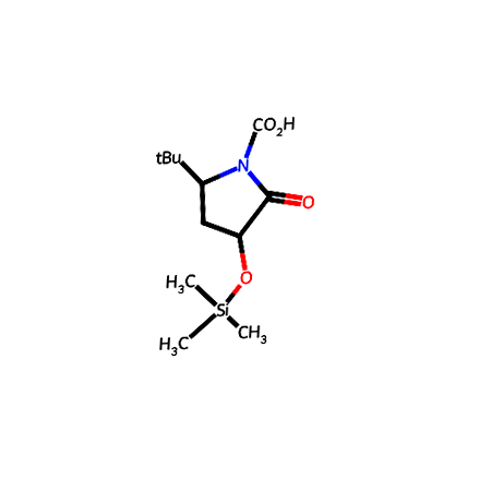 CC(C)(C)C1CC(O[Si](C)(C)C)C(=O)N1C(=O)O